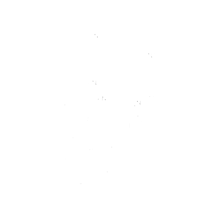 N#Cc1nn(-c2c(Cl)cc(C(F)(F)F)cc2Cl)c([N+](=O)[O-])c1C#N